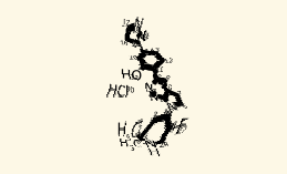 CC1(C)C[C@H](n2ccc3cc(-c4ccc(-n5ccnn5)cc4O)nnc32)[C@H](F)CN1.Cl